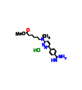 COC(=O)CCCCCN(C)c1ccc(-c2ccc(C(=N)N)cc2)nn1.Cl